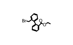 CCOC(=O)c1ccccc1-c1ccccc1CBr